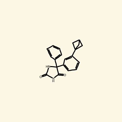 O=C1NC(=O)C(c2ccccc2)(c2cccc(C34CC(C3)C4)c2)N1